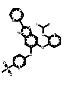 CS(=O)(=O)c1ccc(Oc2cc3[nH]c(-c4cnccn4)nc3cc2Oc2cccnc2OC(F)F)cn1